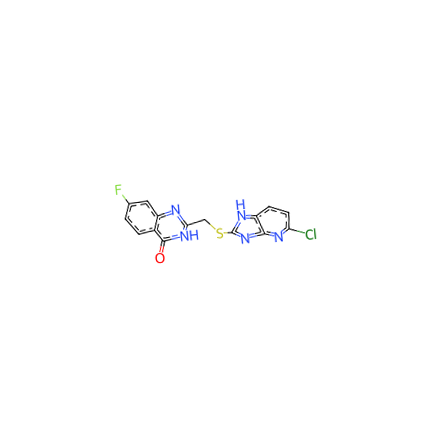 O=c1[nH]c(CSc2nc3nc(Cl)ccc3[nH]2)nc2cc(F)ccc12